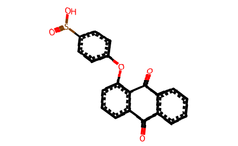 O=C1c2ccccc2C(=O)c2c(Oc3ccc(S(=O)O)cc3)cccc21